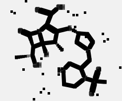 C[C@@H](O)[C@H]1C(=O)N2C(C(=O)O)=C(S[C@@H]3CCN(CC4CNCCN4S(C)(=O)=O)C3)[C@H](C)[C@H]12